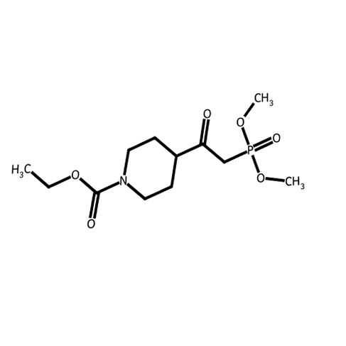 CCOC(=O)N1CCC(C(=O)CP(=O)(OC)OC)CC1